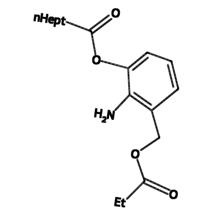 CCCCCCCC(=O)Oc1cccc(COC(=O)CC)c1N